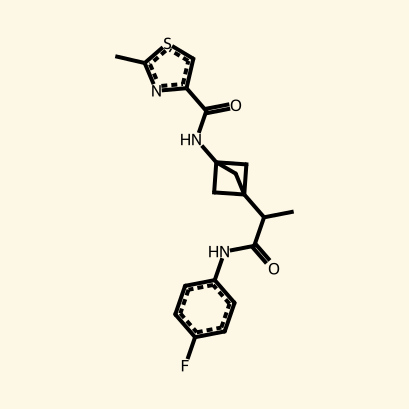 Cc1nc(C(=O)NC23CC(C(C)C(=O)Nc4ccc(F)cc4)(C2)C3)cs1